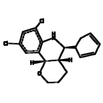 Clc1cc(Cl)c2c(c1)[C@H]1OCCC[C@H]1[C@H](C1C=CC=CC1)N2